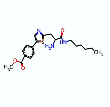 CCCCCCNC(=O)C(N)Cc1ncc(-c2ccc(C(=O)OC)cc2)s1